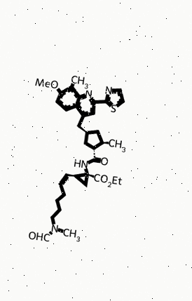 CCOC(=O)[C@@]1(NC(=O)[C@@H]2C[C@@H](Cc3cc(-c4nccs4)nc4c(C)c(OC)ccc34)C[C@H]2C)C[C@H]1/C=C\CCCCN(C)C=O